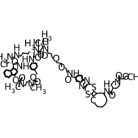 COCC(=O)N1CCC(C(=O)NC2CCCCCCCC3C(C2)C2SCc4nc5ccc(C(=O)NCCOCCOCCC(=O)N[C@H](C(=O)N[C@@H](CCCCNC(N)=O)C(=O)Nc6ccc(COC(=O)N(C)CCN(C)C(=O)Oc7cc8c(c9ccccc79)[C@H](CCl)CN8)cc6)C(C)C)cc5nc4CSC32)CC1